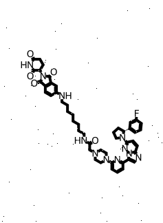 O=C(CN1CCN(c2cccc(-c3cnc4ccc(N5CCC[C@@H]5c5cccc(F)c5)nn34)n2)CC1)NCCCCCCCCNc1ccc2c(c1)C(=O)N(C1CCC(=O)NC1=O)C2=O